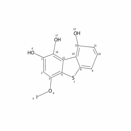 Oc1cc(OI)c2sc3cccc(O)c3c2c1O